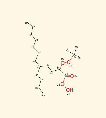 CCCCCCCC(CCCC)CCC(OOC(C)(C)C)C(=O)OO